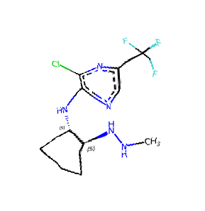 CNN[C@H]1CCC[C@@H]1Nc1ncc(C(F)(F)F)nc1Cl